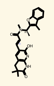 Cc1c([C@@H](C)N(C)C(=O)/C=C/c2cc3c(nc2O)NC(=O)C(C)(C)C3)oc2ccccc12